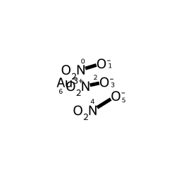 O=[N+]([O-])[O-].O=[N+]([O-])[O-].O=[N+]([O-])[O-].[Au+3]